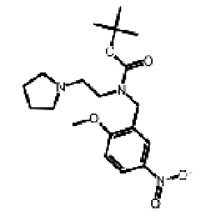 COc1ccc([N+](=O)[O-])cc1CN(CCN1CCCC1)C(=O)OC(C)(C)C